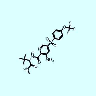 CNC(=O)[C@@H](NC(=O)c1ncc(S(=O)(=O)c2ccc(OC(F)(F)F)cc2)cc1N)C(C)(C)C